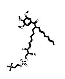 CCCCCCCCC(CCCCC=CC(O)C(N)COP(=O)([O-])OCC[N+](C)(C)C)C(=O)c1cc(OC)c(OC)c(OC)c1